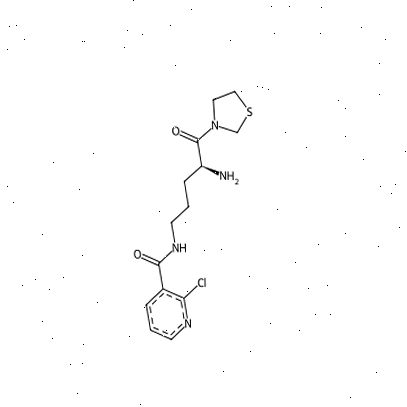 N[C@@H](CCCNC(=O)c1cccnc1Cl)C(=O)N1CCSC1